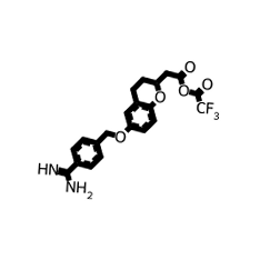 N=C(N)c1ccc(COc2ccc3c(c2)CCC(CC(=O)OC(=O)C(F)(F)F)O3)cc1